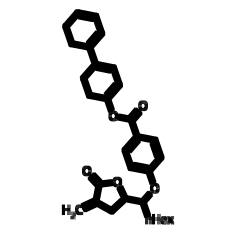 C=C1CC(C(CCCCCC)Oc2ccc(C(=O)OC3=CC=C(C4=CC=CCC4)CC3)cc2)OC1=O